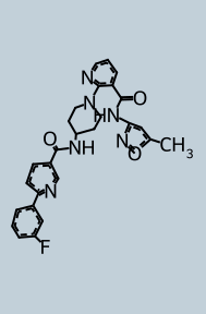 Cc1cc(NC(=O)c2cccnc2N2CCC(NC(=O)c3ccc(-c4cccc(F)c4)nc3)CC2)no1